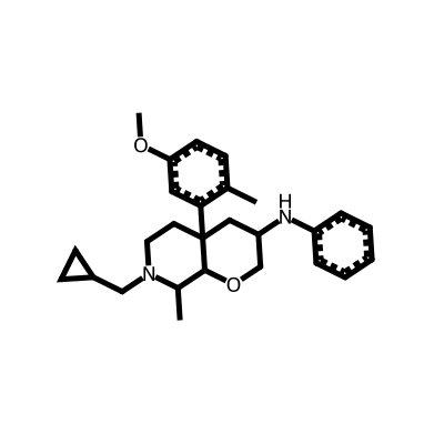 COc1ccc(C)c(C23CCN(CC4CC4)C(C)C2OCC(Nc2ccccc2)C3)c1